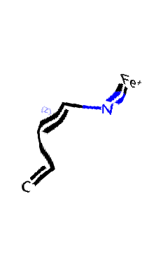 [CH-]=C/C=C\[N]=[Fe+]